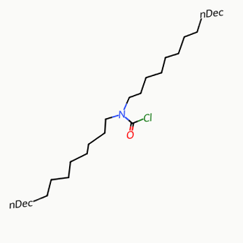 CCCCCCCCCCCCCCCCCCN(CCCCCCCCCCCCCCCCCC)C(=O)Cl